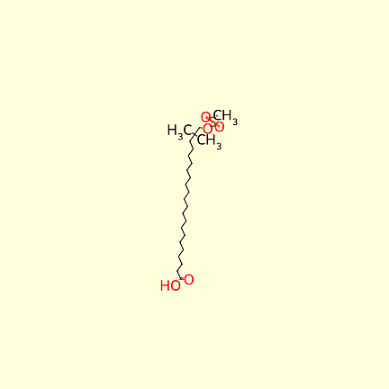 CC(C)(CCCCCCCCCCCCCCCCCCCC(=O)O)COS(C)(=O)=O